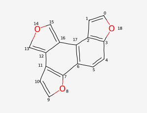 c1cc2c(ccc3c4occc4c4cocc4c23)o1